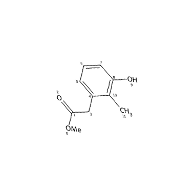 COC(=O)Cc1cccc(O)c1C